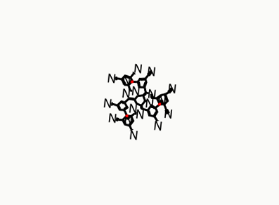 N#Cc1cc(C#N)cc(-c2nc(-c3cc(C#N)cc(C#N)c3)c3c(n2)c2c(-c4cc(C#N)cc(C#N)c4)nc(-c4cc(C#N)cc(C#N)c4)nc2c2c(-c4cc(C#N)cc(C#N)c4)nc(-c4cc(C#N)cc(C#N)c4)nc32)c1